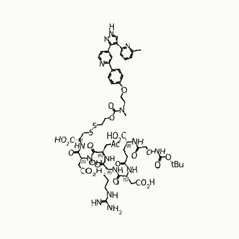 CC(=O)C[C@@H](NC(=O)[C@@H](CCCNC(=N)N)NC(=O)[C@H](CC(=O)O)NC(=O)CC[C@@H](NC(=O)CONC(=O)OC(C)(C)C)C(=O)O)C(=O)N(O)[C@@H](CC(=O)O)C(=O)N[C@@H](CSSCCOC(=O)N(C)CCOc1ccc(-c2cc(-c3n[nH]cc3-c3cccc(C)n3)ccn2)cc1)C(=O)O